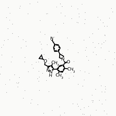 Cc1cc(C)c(-c2[nH]nc(COC3CC3)c2C)cc1C(=O)N1CC(c2ccc(C#N)cc2)C1